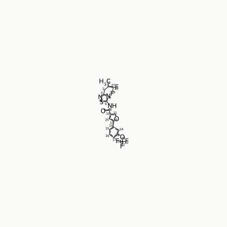 CC(Cc1nsc(NC(=O)c2coc(-c3cccc(OC(F)(F)F)c3)c2)n1)=C(F)F